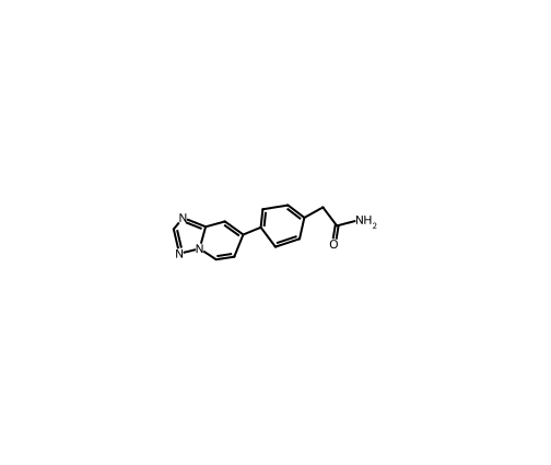 NC(=O)Cc1ccc(-c2ccn3ncnc3c2)cc1